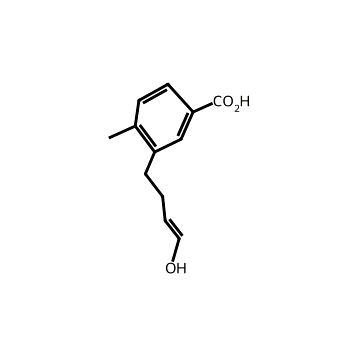 Cc1ccc(C(=O)O)cc1CCC=CO